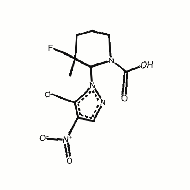 CC1(F)CCCN(C(=O)O)C1n1ncc([N+](=O)[O-])c1Cl